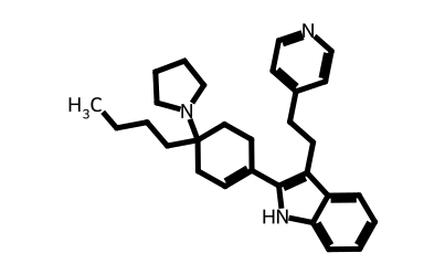 CCCCC1(N2CCCC2)CC=C(c2[nH]c3ccccc3c2CCc2ccncc2)CC1